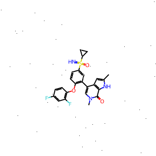 Cc1cc2c(-c3cc(S(=N)(=O)C4CC4)ccc3Oc3ccc(F)cc3F)cn(C)c(=O)c2[nH]1